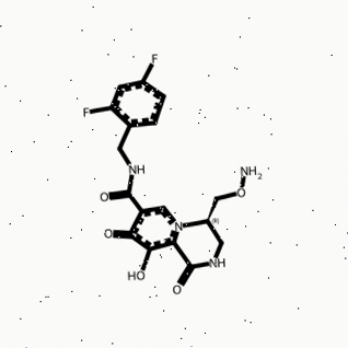 NOC[C@H]1CNC(=O)c2c(O)c(=O)c(C(=O)NCc3ccc(F)cc3F)cn21